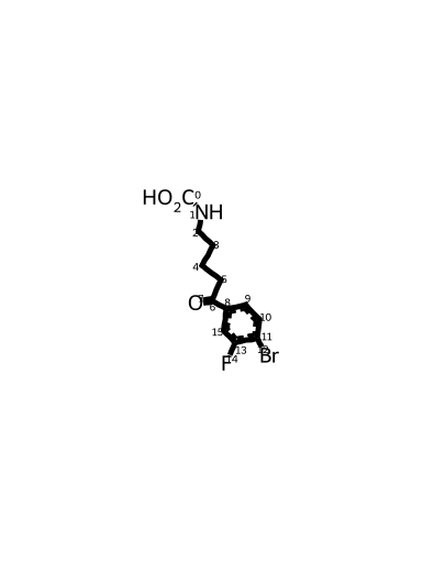 O=C(O)NCCCCC(=O)c1ccc(Br)c(F)c1